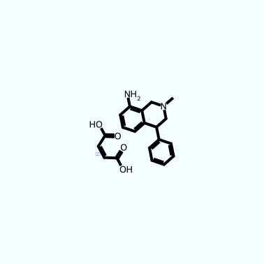 CN1Cc2c(N)cccc2C(c2ccccc2)C1.O=C(O)/C=C\C(=O)O